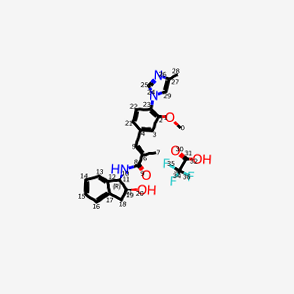 COc1cc(C=C(C)C(=O)N[C@@H]2c3ccccc3C[C@@H]2O)ccc1-n1cnc(C)c1.O=C(O)C(F)(F)F